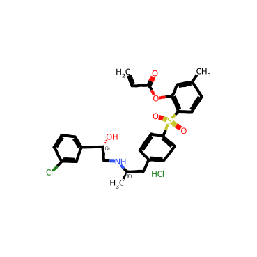 C=CC(=O)Oc1cc(C)ccc1S(=O)(=O)c1ccc(C[C@@H](C)NC[C@@H](O)c2cccc(Cl)c2)cc1.Cl